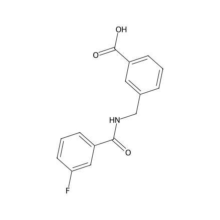 O=C(O)c1cccc(CNC(=O)c2cccc(F)c2)c1